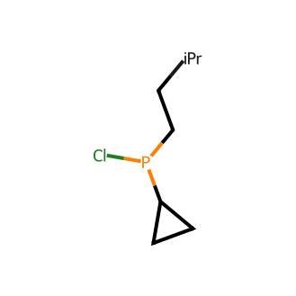 CC(C)CCP(Cl)C1CC1